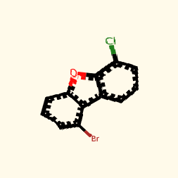 Clc1cccc2c1oc1cccc(Br)c12